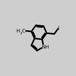 Cc1ccc(CI)c2[nH]ccc12